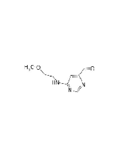 COCCNc1cc(C=O)ncn1